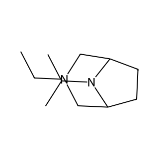 CCN1CC2CCC(C1)N2C(C)C